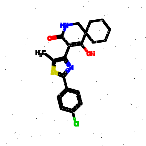 Cc1sc(-c2ccc(Cl)cc2)nc1C1=C(O)C2(CCCCC2)CNC1=O